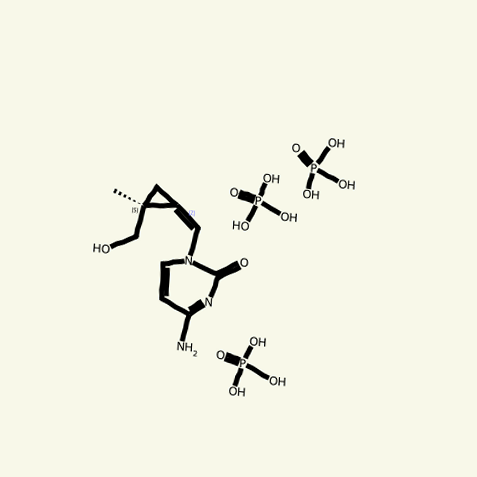 C[C@]1(CO)C/C1=C/n1ccc(N)nc1=O.O=P(O)(O)O.O=P(O)(O)O.O=P(O)(O)O